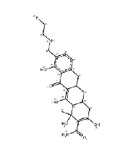 CC1(O)C(C(N)=O)=C(O)CC2CC3Cc4ccc(CNCCF)c(O)c4C(=O)C3=C(O)C21